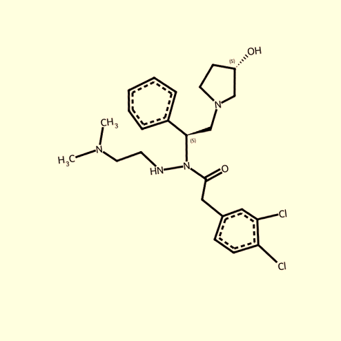 CN(C)CCNN(C(=O)Cc1ccc(Cl)c(Cl)c1)[C@H](CN1CC[C@H](O)C1)c1ccccc1